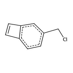 ClCc1ccc2c(c1)C=C2